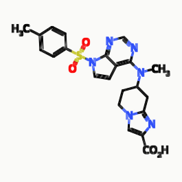 Cc1ccc(S(=O)(=O)n2ccc3c(N(C)C4CCn5cc(C(=O)O)nc5C4)ncnc32)cc1